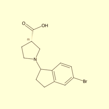 O=C(O)[C@H]1CCN(C2CCc3cc(Br)ccc32)C1